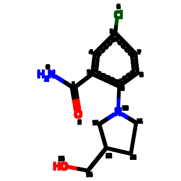 NC(=O)c1cc(Cl)ccc1N1CCC(CO)C1